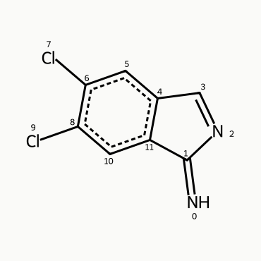 N=C1N=Cc2cc(Cl)c(Cl)cc21